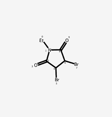 CCN1C(=O)C(Br)C(Br)C1=O